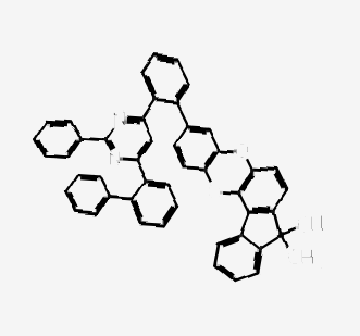 CC1(C)c2ccccc2-c2c1ccc1c2Oc2ccc(-c3ccccc3-c3cc(-c4ccccc4-c4ccccc4)nc(-c4ccccc4)n3)cc2O1